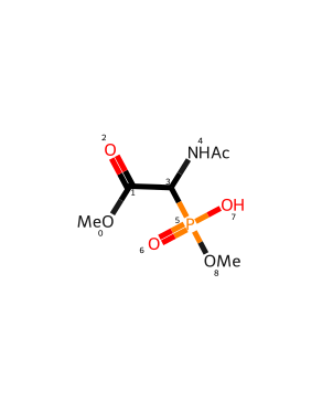 COC(=O)C(NC(C)=O)P(=O)(O)OC